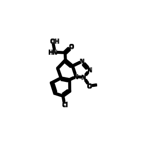 CON1N=NC2=C(C(=O)NO)Cc3ccc(Cl)cc3N21